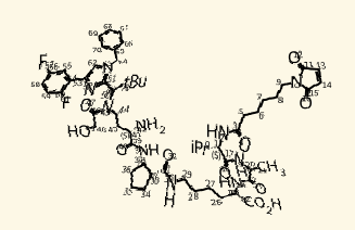 CC(C)[C@H](NC(=O)CCCCCN1C(=O)C=CC1=O)C(=O)N[C@@H](C)C(=O)N[C@@H](CCCCNC(=O)[C@@H]1CCC[C@@H]1NC(=O)[C@@H](N)CCN(C(=O)CO)[C@@H](c1nc(-c2cc(F)ccc2F)cn1Cc1ccccc1)C(C)(C)C)C(=O)O